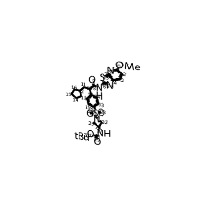 COc1ccc2nc(NC(=O)C(CC3CCCC3)c3ccc(S(=O)(=O)N4CC(NC(=O)OC(C)(C)C)C4)cc3)sc2n1